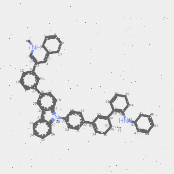 CN/C=C(\C=C1/CC=CCC1)c1cccc(-c2ccc3c(c2)c2ccccc2n3-c2ccc(C3=CC[C@@H](C)C(C4=C(NC5C=CC=CC5)CCC=C4)=C3)cc2)c1